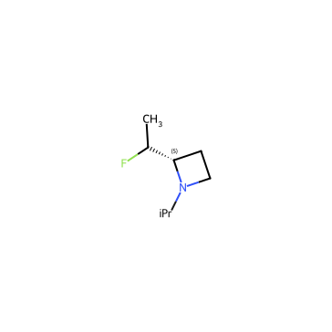 CC(F)[C@@H]1CCN1C(C)C